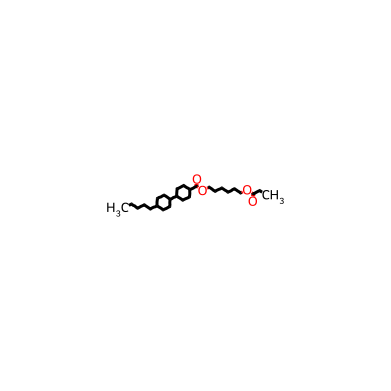 CCCCCC1CCC(C2CCC(C(=O)OCCCCCCOC(=O)CC)CC2)CC1